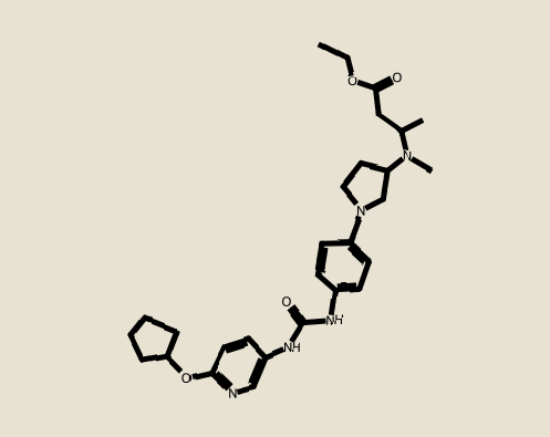 CCOC(=O)CC(C)N(C)C1CCN(c2ccc(NC(=O)Nc3ccc(OC4CCCC4)nc3)cc2)C1